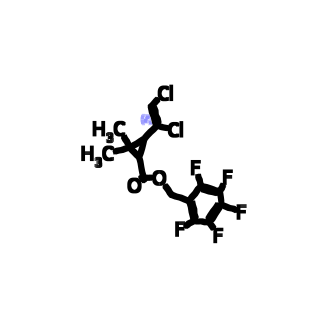 CC1(C)C(C(=O)OCc2c(F)c(F)c(F)c(F)c2F)C1/C(Cl)=C/Cl